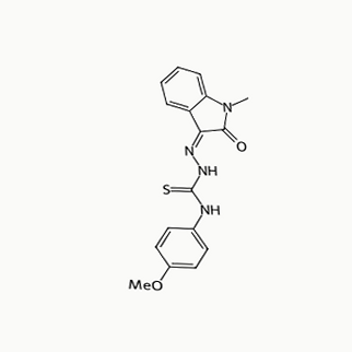 COc1ccc(NC(=S)N/N=C2\C(=O)N(C)c3ccccc32)cc1